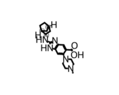 CN1CCN(c2cc3[nH]c(N[C@H]4C[C@@H]5CC[C@H]4C5)nc3cc2C(=O)O)CC1